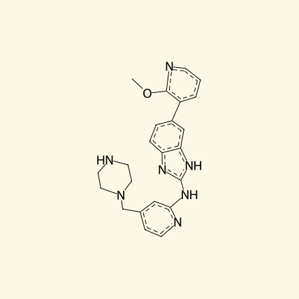 COc1ncccc1-c1ccc2nc(Nc3cc(CN4CCNCC4)ccn3)[nH]c2c1